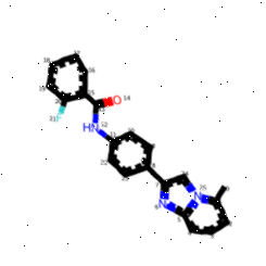 Cc1cccc2nc(-c3ccc(NC(=O)c4ccccc4F)cc3)cn12